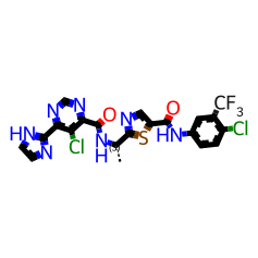 C[C@H](NC(=O)c1ncnc(-c2ncc[nH]2)c1Cl)c1ncc(C(=O)Nc2ccc(Cl)c(C(F)(F)F)c2)s1